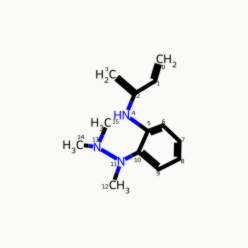 C=CC(=C)Nc1ccccc1N(C)N(C)C